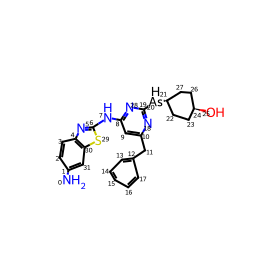 Nc1ccc2nc(Nc3cc(Cc4ccccc4)nc([AsH][C@H]4CC[C@H](O)CC4)n3)sc2c1